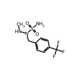 CNN(Cc1ccc(C(F)(F)F)cc1)S(N)(=O)=O